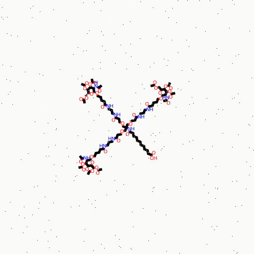 CC(=O)NC1C(OC(C)=O)[C@H](OC(C)=O)C(COC(C)=O)O[C@H]1OCCCCC(=O)NCCCNC(=O)CCOCC(COCCC(=O)NCCCNC(=O)CCCCO[C@@H]1OC(COC(C)=O)[C@@H](OC(C)=O)C(OC(C)=O)C1NC(C)=O)(COCCC(=O)NCCCNC(=O)CCCCO[C@@H]1O[C@H](COC(C)=O)[C@@H](OC(C)=O)C(OC(C)=O)C1NC(C)=O)NC(=O)CCCCCCCCCCC(=O)O